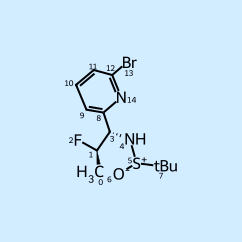 C[C@@H](F)[C@@H](N[S+]([O-])C(C)(C)C)c1cccc(Br)n1